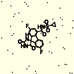 O=C1NC(=O)C2(N1)c1cc(F)ccc1-c1c(C(=O)NS(=O)(=O)C3CC3)cc(F)cc12